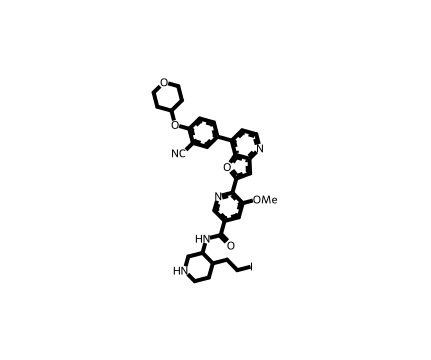 COc1cc(C(=O)NC2CNCCC2CCI)cnc1-c1cc2nccc(-c3ccc(OC4CCOCC4)c(C#N)c3)c2o1